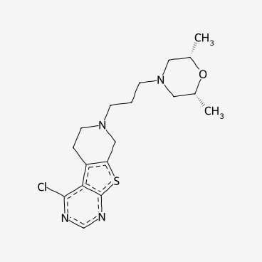 C[C@@H]1CN(CCCN2CCc3c(sc4ncnc(Cl)c34)C2)C[C@H](C)O1